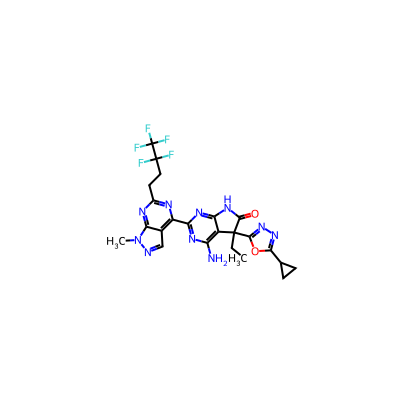 CCC1(c2nnc(C3CC3)o2)C(=O)Nc2nc(-c3nc(CCC(F)(F)C(F)(F)F)nc4c3cnn4C)nc(N)c21